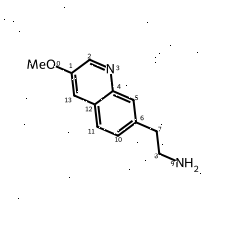 COc1cnc2cc(CCN)ccc2c1